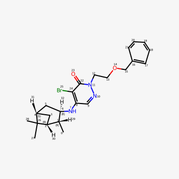 C[C@@H]1[C@H]2C[C@@H](C[C@H]1Nc1cnn(CCOCc3ccccc3)c(=O)c1Br)C2(C)C